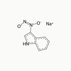 [Na+].[O-]/N=[N+](/[O-])c1c[nH]c2ccccc12